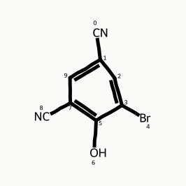 N#Cc1cc(Br)c(O)c(C#N)c1